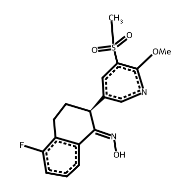 COc1ncc([C@@H]2CCc3c(F)cccc3C2=NO)cc1S(C)(=O)=O